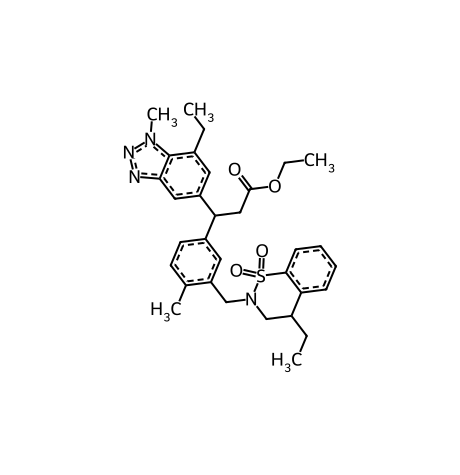 CCOC(=O)CC(c1ccc(C)c(CN2CC(CC)c3ccccc3S2(=O)=O)c1)c1cc(CC)c2c(c1)nnn2C